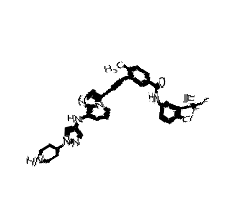 Cc1ccc(C(=O)Nc2ccc(Cl)c(C(F)(F)F)c2)cc1C#Cc1cnc2c(Nc3cnn(C4CCNCC4)c3)cccn12